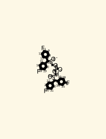 O=[PH](OC[S@@+]([O-])C(c1ccc(F)cc1)c1ccc(F)cc1)OC[S@@+]([O-])C(c1ccc(F)cc1)c1ccc(F)cc1